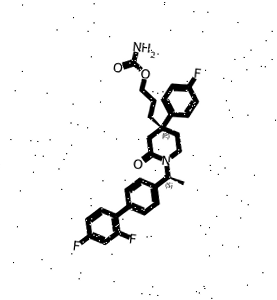 C[C@@H](c1ccc(-c2ccc(F)cc2F)cc1)N1CC[C@@](CCCOC(N)=O)(c2ccc(F)cc2)CC1=O